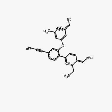 C=C(/C=C\C(=C/CCCC)CCN)c1ccc(C#CCCC)cc1O/C(C=C(C)C)=C/C(C)=C/CC